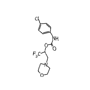 O=C(Nc1ccc(Cl)cc1)OC(CN1CCOCC1)C(F)(F)F